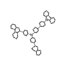 c1ccc2cc(-c3ccc(N(c4ccc(-c5ccc(-n6c7ccccc7c7ccccc76)cc5)cc4)c4ccc(-c5cc6ccccc6c6ccccc56)cc4)cc3)ccc2c1